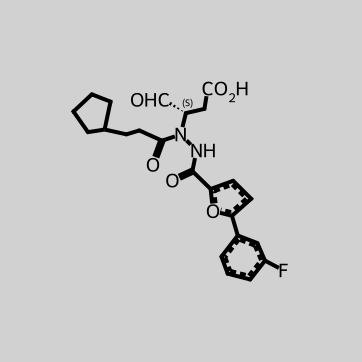 O=C[C@H](CC(=O)O)N(NC(=O)c1ccc(-c2cccc(F)c2)o1)C(=O)CCC1CCCC1